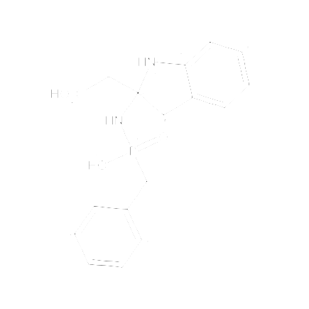 O=C(O)CC1(NP(=O)(O)Cc2ccccc2)Cc2ccccc2N1